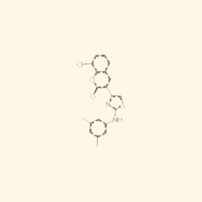 Cc1cc(C)cc(Nc2nc(-c3cc4cccc(Cl)c4oc3=O)cs2)c1